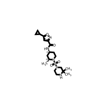 C[C@H]1C[C@@H](NC(=O)c2cc(C3CC3)on2)CCN1S(=O)(=O)N1CCNC(C)(C)C1